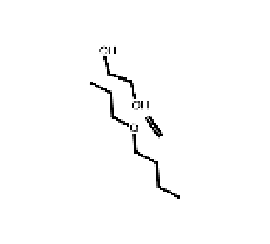 C=C.CCCCOCCC.OCCO